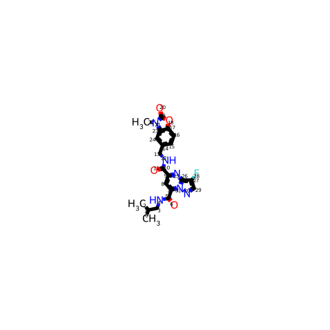 CC(C)CNC(=O)c1cc(C(=O)NCc2ccc3oc(=O)n(C)c3c2)nc2c(F)cnn12